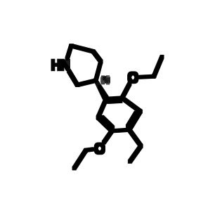 CCOc1cc([C@@H]2CCCNC2)c(OCC)cc1CC